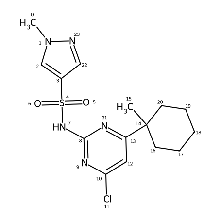 Cn1cc(S(=O)(=O)Nc2nc(Cl)cc(C3(C)CCCCC3)n2)cn1